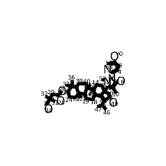 COc1ccc(-n2c(=O)c(C)c(C34CC[C@]5(C)C(CCC6C7(C)CCC(OC(=O)CC(C)(C)C=O)C(C)(C)C7CCC65C)C3=C(C(C)C)C(=O)C4)n2C)nc1